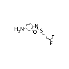 Nc1ccc2nc(SCCC=C(F)F)oc2c1